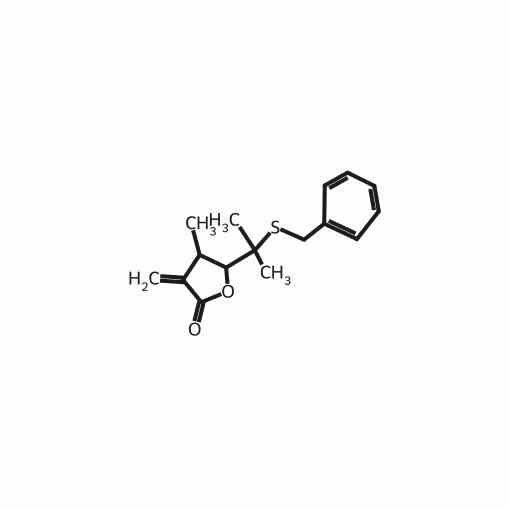 C=C1C(=O)OC(C(C)(C)SCc2ccccc2)C1C